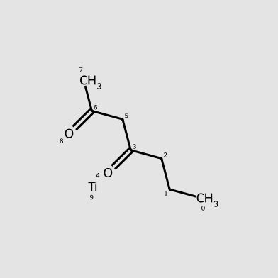 CCCC(=O)CC(C)=O.[Ti]